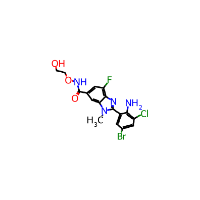 Cn1c(-c2cc(Br)cc(Cl)c2N)nc2c(F)cc(C(=O)NOCCO)cc21